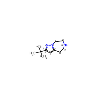 CC(C)(C)c1cc2n(n1)CCNCC2